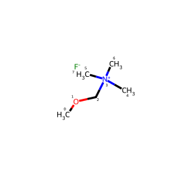 COC[N+](C)(C)C.[F-]